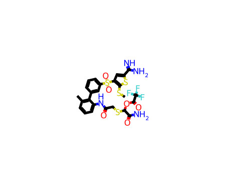 CSc1sc(C(=N)N)cc1S(=O)(=O)c1cccc(-c2c(C)cccc2NC(=O)CSC(OC(=O)C(F)(F)F)C(N)=O)c1